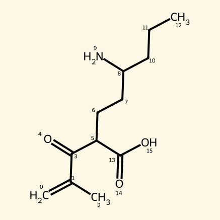 C=C(C)C(=O)C(CCC(N)CCC)C(=O)O